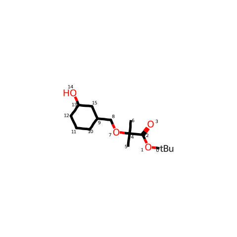 CC(C)(C)OC(=O)C(C)(C)OCC1CCCC(O)C1